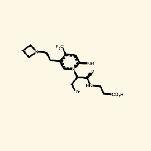 CC(C)CC(C(=O)NCCC(=O)O)n1cc(CCN2CCC2)c(C(F)(F)F)cc1=N